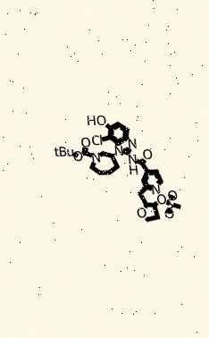 CC(C)(C)OC(=O)N1CCCC[C@@H](n2c(NC(=O)c3ccnc(CC4OCCC4OS(C)(=O)=O)c3)nc3ccc(O)c(Cl)c32)C1